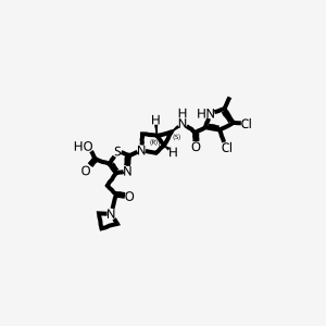 Cc1[nH]c(C(=O)N[C@H]2[C@@H]3CN(c4nc(CC(=O)N5CCC5)c(C(=O)O)s4)C[C@@H]32)c(Cl)c1Cl